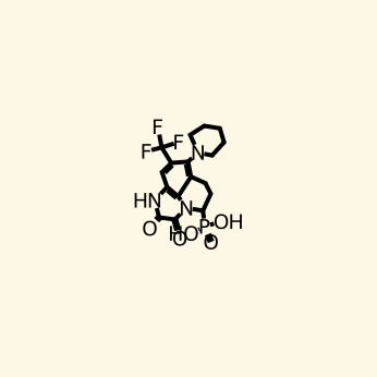 O=c1[nH]c2cc(C(F)(F)F)c(N3CCCCC3)c3c2n(c1=O)C(P(=O)(O)O)CC3